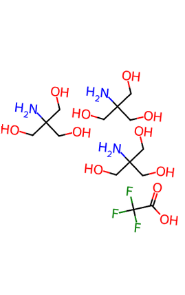 NC(CO)(CO)CO.NC(CO)(CO)CO.NC(CO)(CO)CO.O=C(O)C(F)(F)F